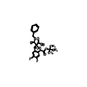 CC(C)(C)OC(=O)Nc1cc(F)c(F)cc1CC(N)(C(=O)O)C(=O)OCc1ccccc1